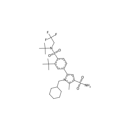 Cc1c(S(N)(=O)=O)cc(-c2ccc(S(=O)(=O)N(CC(F)(F)F)C(C)(C)C)c(C(C)(C)C)c2)n1CC1CCCCC1